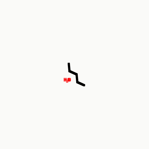 CCCCC.O